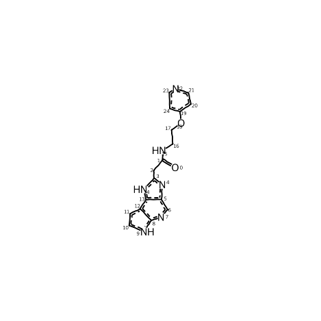 O=C(Cc1nc2cnc3[nH]ccc3c2[nH]1)NCCOc1ccncc1